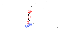 NNOCCOCCO